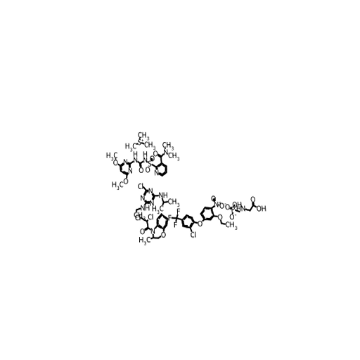 CC1COc2ccccc2N1C(=O)C(Cl)Cl.CCNc1nc(Cl)nc(NC(C)C)n1.CCOc1cc(Oc2ccc(C(F)(F)F)cc2Cl)ccc1[N+](=O)[O-].COc1cc(OC)nc(NC(=O)NS(=O)(=O)c2ncccc2C(=O)N(C)C)n1.C[S+](C)C.O=C(O)CNCP(=O)([O-])O